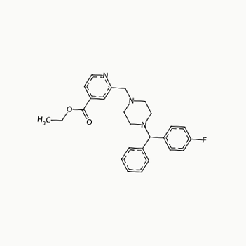 CCOC(=O)c1ccnc(CN2CCN(C(c3ccccc3)c3ccc(F)cc3)CC2)c1